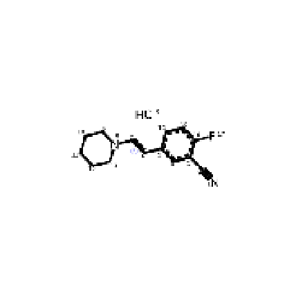 Cl.N#Cc1cc(/C=C/N2CCCCC2)ccc1F